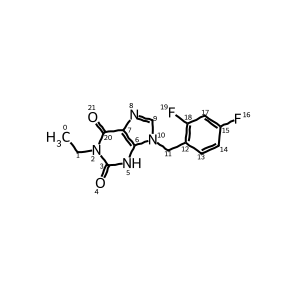 CCn1c(=O)[nH]c2c(ncn2Cc2ccc(F)cc2F)c1=O